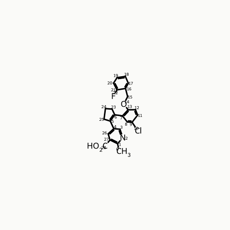 Cc1ncc(C2=C(c3cc(Cl)ccc3OCc3ccccc3F)CCC2)cc1C(=O)O